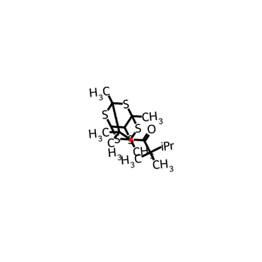 CC(C)C(C)(C)C(=O)SC1C2SC3(C)SC1(C)SC(C)(S2)C3(C)C